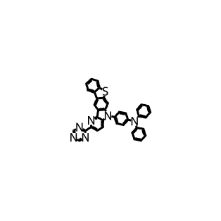 c1ccc(N(c2ccccc2)c2ccc(-n3c4cc5sc6ccccc6c5cc4c4nc(-c5ncncn5)ccc43)cc2)cc1